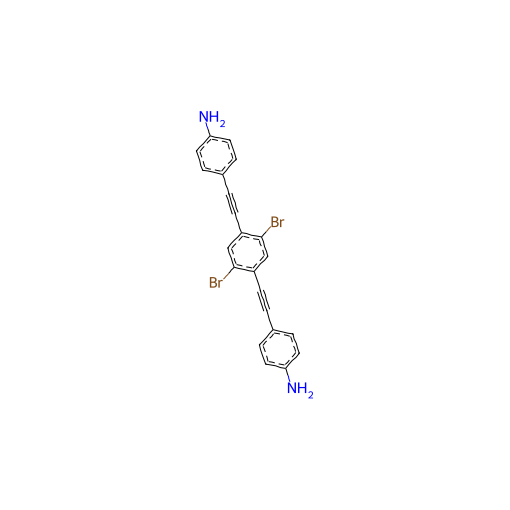 Nc1ccc(C#Cc2cc(Br)c(C#Cc3ccc(N)cc3)cc2Br)cc1